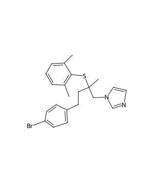 Cc1cccc(C)c1SC(C)(CCc1ccc(Br)cc1)Cn1ccnc1